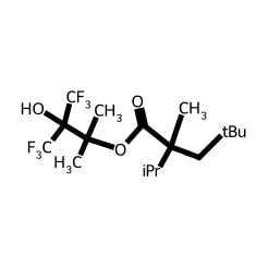 CC(C)C(C)(CC(C)(C)C)C(=O)OC(C)(C)C(O)(C(F)(F)F)C(F)(F)F